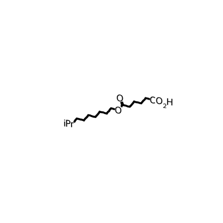 CC(C)CCCCCCCOC(=O)CCCCC(=O)O